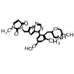 Cc1cc(Cl)cc(-c2ncnn3cc(Cn4c(=O)ccn(C)c4=O)cc23)c1CC1CN[C@@H](C)CO1.Cl